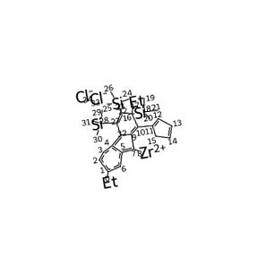 CCc1ccc2c(c1)=[C]([Zr+2])C1=C(C3=CC=CC3)C(CC)([Si](C)(C)C)C([Si](C)(C)C)=C([Si](C)(C)C)C=21.[Cl-].[Cl-]